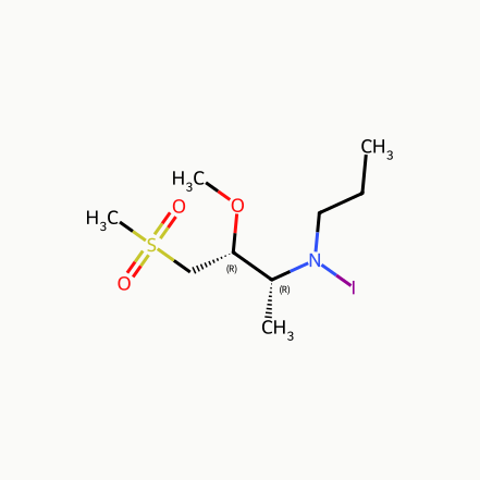 CCCN(I)[C@H](C)[C@H](CS(C)(=O)=O)OC